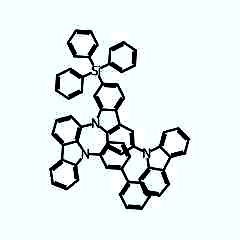 c1ccc(-c2cccc(-n3c4ccccc4c4cccc(-n5c6ccc(-n7c8ccccc8c8ccccc87)cc6c6ccc([Si](c7ccccc7)(c7ccccc7)c7ccccc7)cc65)c43)c2)cc1